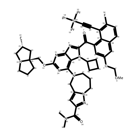 COCOc1cc(C(=O)c2nc3nc(OC[C@@]45CCCN4C[C@H](F)C5)nc(N4CCCn5nc(C(=O)N(C)C)cc5C4)c3n2C2CCC2)c2c(C#C[Si](C(C)C)(C(C)C)C(C)C)c(F)ccc2c1